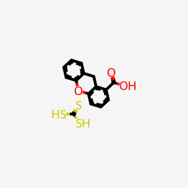 O=C(O)c1cccc2c1Cc1ccccc1O2.S=C(S)S